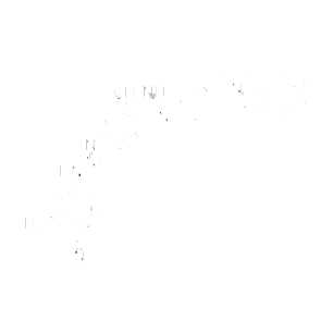 Cc1cc(N/N=N/c2ccc(C(=N)NCCC3CCN(Cc4ccccc4)CC3)c(C)c2)ccc1C#N